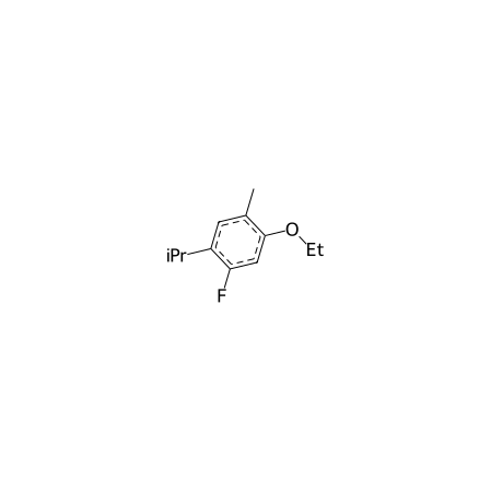 CCOc1cc(F)c(C(C)C)cc1C